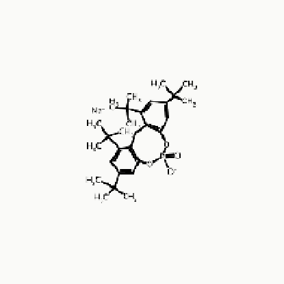 CC(C)(C)c1cc2c(c(C(C)(C)C)c1)Cc1c(cc(C(C)(C)C)cc1C(C)(C)C)OP(=O)([O-])O2.[Na+]